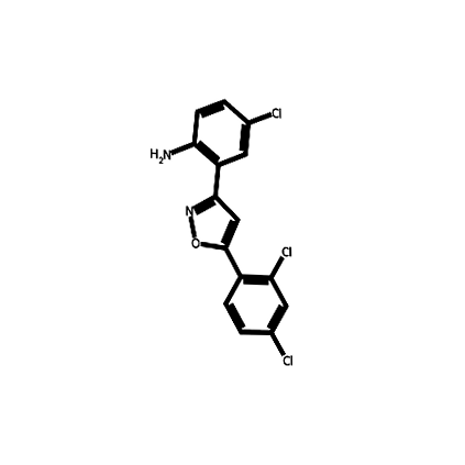 Nc1ccc(Cl)cc1-c1cc(-c2ccc(Cl)cc2Cl)on1